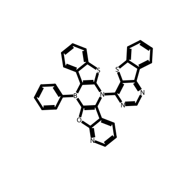 c1ccc(B2c3oc4ncccc4c3N(c3ncnc4c3sc3ccccc34)c3sc4ccccc4c32)cc1